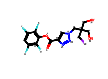 O=C(Oc1c(F)c(F)cc(F)c1F)c1cn(CC(CO)(CO)CI)nn1